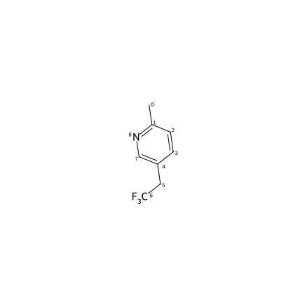 Cc1ccc(CC(F)(F)F)cn1